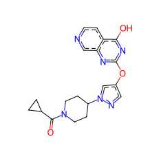 O=C(C1CC1)N1CCC(n2cc(Oc3nc(O)c4ccncc4n3)cn2)CC1